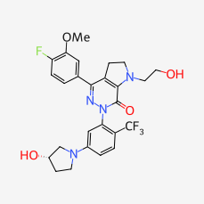 COc1cc(-c2nn(-c3cc(N4CC[C@H](O)C4)ccc3C(F)(F)F)c(=O)c3c2CCN3CCO)ccc1F